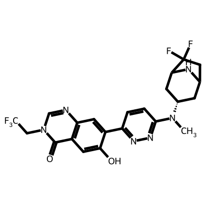 CN(c1ccc(-c2cc3ncn(CC(F)(F)F)c(=O)c3cc2O)nn1)[C@H]1CC2CC(F)(F)C(C1)N2